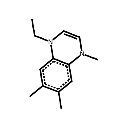 CCN1C=CN(C)c2cc(C)c(C)cc21